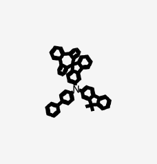 CC1(C)c2ccccc2-c2ccc(N(c3ccc(-c4ccccc4)cc3)c3ccc4c(c3)-c3ccccc3C43c4ccccc4-c4ccccc4-c4ccccc43)cc21